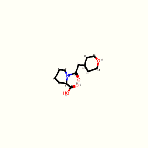 O=C(O)C1CCCCN1C(=O)CC1CCOCC1